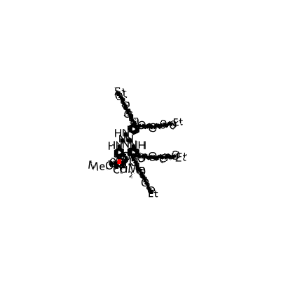 C=C(OOC)Oc1ccc(Nc2nc(Nc3ccc(OCCOCCOCCOCC)c(OCCOCCOCCOCC)c3)nc(Nc3ccc(OCCOCCOCCOCC)c(OCCOCCOCCOCC)c3)n2)cc1OCC(=O)OC